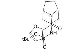 CC(C)(C)OC(=O)NC1CC2CCC(C1)N2C(=O)c1ncco1